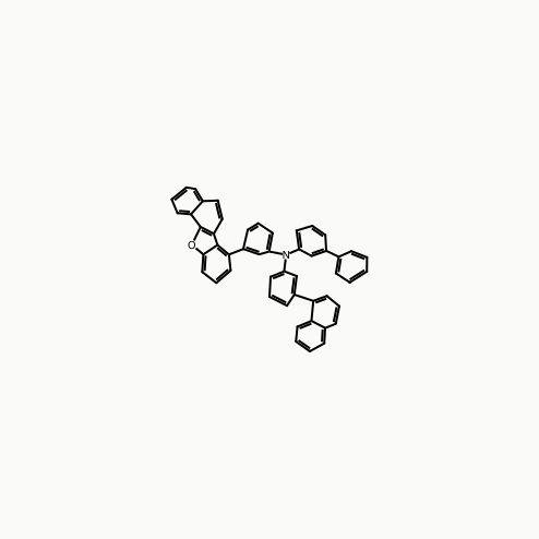 c1ccc(-c2cccc(N(c3cccc(-c4cccc5ccccc45)c3)c3cccc(-c4cccc5oc6c7ccccc7ccc6c45)c3)c2)cc1